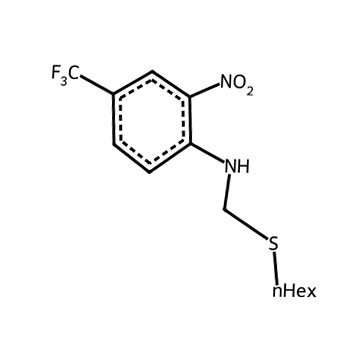 CCCCCCSCNc1ccc(C(F)(F)F)cc1[N+](=O)[O-]